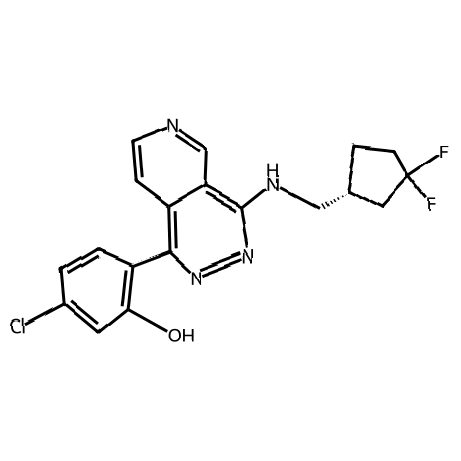 Oc1cc(Cl)ccc1-c1nnc(NC[C@@H]2CCC(F)(F)C2)c2cnccc12